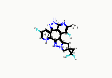 Cc1nc2[nH]nc(C)c2c(-c2c(-c3ccc(F)cn3)nn3c2C[C@@]2(C3)CC2(F)F)c1F